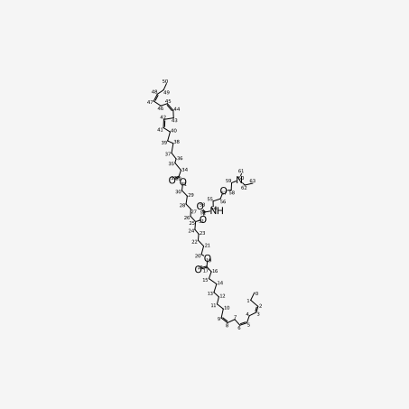 CC/C=C\C/C=C\C/C=C\CCCCCCCC(=O)OCCCCCC(CCCCCOC(=O)CCCCCCC/C=C\C/C=C\C/C=C\CC)OC(=O)NCCOCCN(C)CC